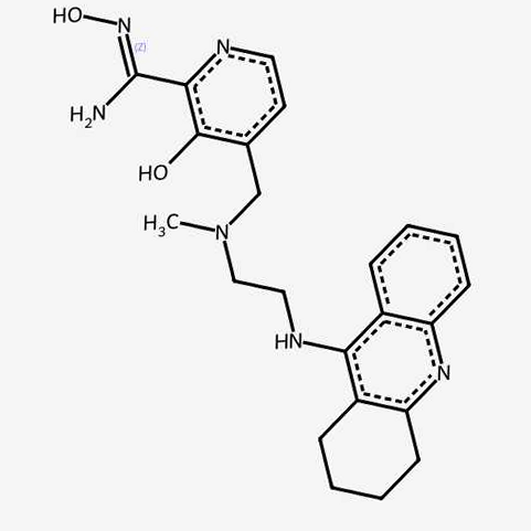 CN(CCNc1c2c(nc3ccccc13)CCCC2)Cc1ccnc(/C(N)=N/O)c1O